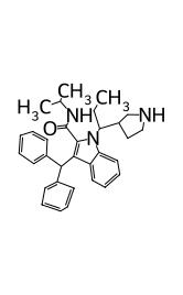 CCC(C1CCNC1)n1c(C(=O)NC(C)C)c(C(c2ccccc2)c2ccccc2)c2ccccc21